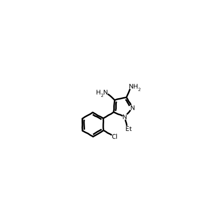 CCn1nc(N)c(N)c1-c1ccccc1Cl